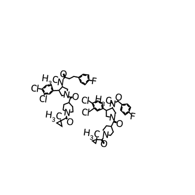 CN(C(=O)CCc1ccc(F)cc1)C1CN(C(=O)C2CCN(C(=O)C3(C)CC3)CC2)CC1c1ccc(Cl)c(Cl)c1.CN(C(=O)c1ccc(F)cc1)C1CN(C(=O)C2CCN(C(=O)C3(C)CC3)CC2)CC1c1ccc(Cl)c(Cl)c1